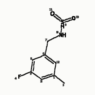 Cc1cc(F)cc(CN[SH](=O)=O)c1